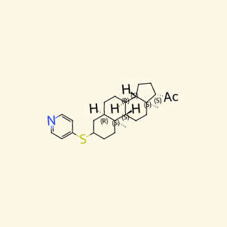 CC(=O)[C@H]1CC[C@H]2[C@@H]3CC[C@@H]4CC(Sc5ccncc5)CC[C@]4(C)[C@H]3CC[C@]12C